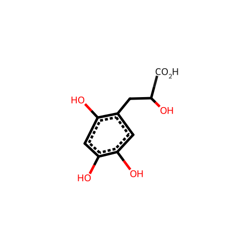 O=C(O)C(O)Cc1cc(O)c(O)cc1O